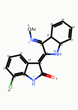 CC(=O)O/N=C1/C(=C2/C(=O)Nc3c(Cl)cccc32)NC2C=CC=CC12